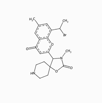 Cc1cc(C(C)Br)c2oc(C3N(C)C(=O)OC34CCNCC4)cc(=O)c2c1